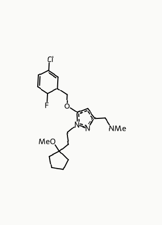 CNCc1cc(OCC2C=C(Cl)C=CC2F)n(CCC2(OC)CCCC2)n1